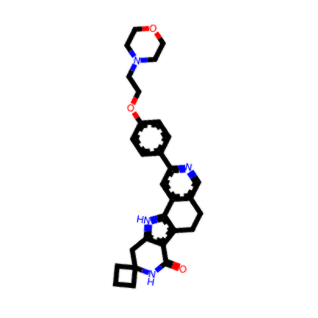 O=C1NC2(CCC2)Cc2[nH]c3c(c21)CCc1cnc(-c2ccc(OCCN4CCOCC4)cc2)cc1-3